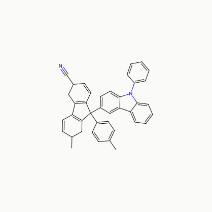 Cc1ccc(C2(c3ccc4c(c3)c3ccccc3n4-c3ccccc3)C3=C(CC(C#N)C=C3)C3=C2CC(C)C=C3)cc1